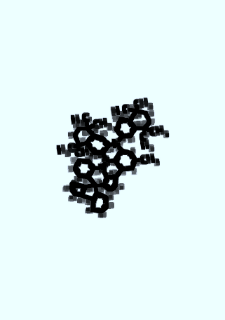 Cc1cc2c3c(c1)N(c1ccc4c(c1)C(C)(C)CCC4(C)C)c1cc4c(cc1B3N1c3ccccc3C3(c5ccccc5-c5ccccc53)c3cccc-2c31)C(C)(C)CCC4(C)C